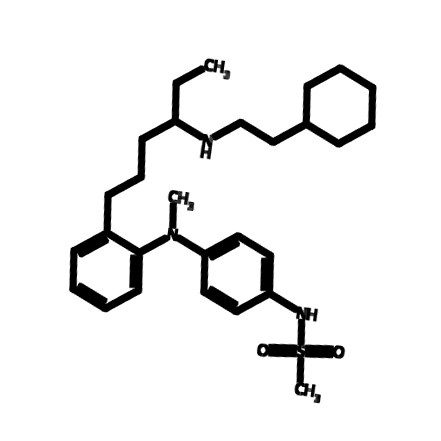 CCC(CCCc1ccccc1N(C)c1ccc(NS(C)(=O)=O)cc1)NCCC1CCCCC1